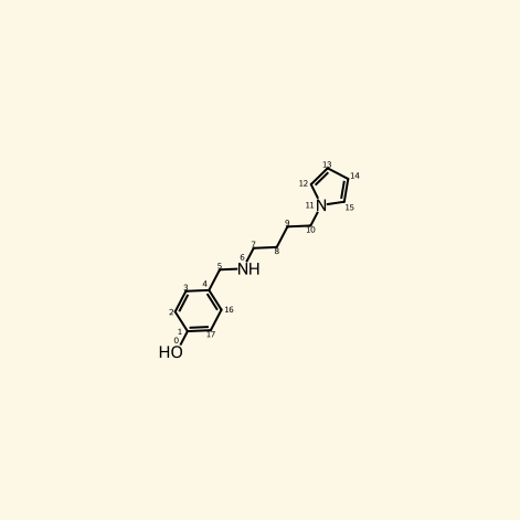 Oc1ccc(CNCCCCn2cccc2)cc1